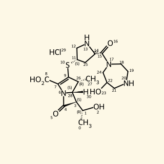 C[C@@H](O)[C@H]1C(=O)N2C(C(=O)O)=C(S[C@@H]3CN[C@H](C(=O)N4CCNCC(O)C4)C3)[C@H](C)[C@H]12.Cl